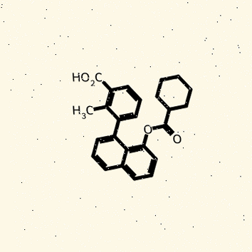 Cc1c(C(=O)O)cccc1-c1cccc2cccc(OC(=O)C3CCCCC3)c12